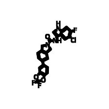 O=C(Nc1c[nH]c2cc(F)c(Cl)cc12)N1Cc2ccc(-c3ccc4c(c3)OC(F)(F)O4)cc2C1